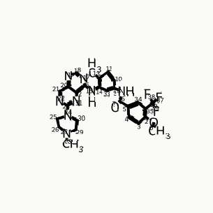 COc1ccc(C(=O)Nc2ccc(C)c(Nc3ncnc4cnc(N5CCN(C)CC5)nc34)c2)cc1C(F)(F)F